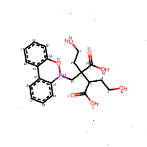 O=C(O)C(CCO)C(CCO)(CP1Oc2ccccc2-c2ccccc21)C(=O)O